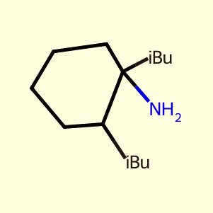 CCC(C)C1CCCCC1(N)C(C)CC